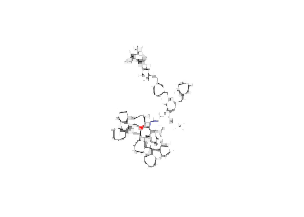 CC(C)(C)OC(=O)N(C/C=C(\I)c1cc(NC(c2ccccc2)(c2ccccc2)c2ccccc2)nc2c1nnn2C(c1ccccc1)(c1ccccc1)c1ccccc1)[C@H]1CC(Cc2ccccc2)[C@H](Oc2cccc(Cn3cc(B4OC(C)(C)C(C)(C)O4)cn3)c2)C1